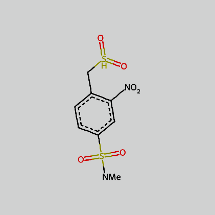 CNS(=O)(=O)c1ccc(C[SH](=O)=O)c([N+](=O)[O-])c1